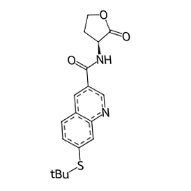 CC(C)(C)Sc1ccc2cc(C(=O)N[C@H]3CCOC3=O)cnc2c1